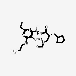 CCCNc1nc(CF)nc(NNC(=O)[C@H](CC2CCCC2)CN(O)C=O)c1F